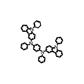 C1=CCCC(n2c3ccccc3c3cc(N(c4ccccc4)c4ccc(N(c5ccccc5)c5ccc6c(c5)c5ccccc5n6-c5ccccc5)cc4)ccc32)=C1